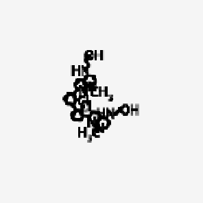 CN1CC[C@H](NCCO)c2ccc(-c3cccc(-c4cccc(-c5ccc6c(n5)N(C)CC[C@H]6NCCO)c4Cl)c3Cl)nc21